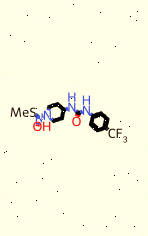 CSN(O)N1CCC(NC(=O)Nc2ccc(C(F)(F)F)cc2)CC1